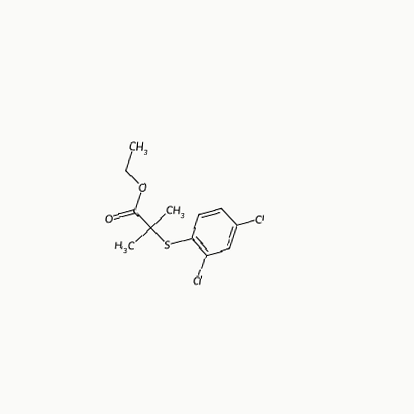 CCOC(=O)C(C)(C)Sc1ccc(Cl)cc1Cl